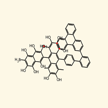 Bc1c(O)c(O)c2c(O)c(-c3c4c(C)c(O)c(O)c(C)c4c(-c4ccc(-c5ccccc5-c5ccc6c7ccccc7c7ccccc7c6c5)cc4)c4c(O)c(O)c(O)c(O)c34)c(O)c(O)c2c1O